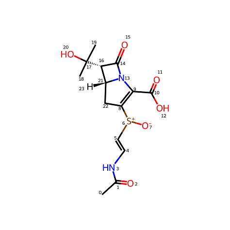 CC(=O)N/C=C/[S+]([O-])C1=C(C(=O)O)N2C(=O)[C@@H](C(C)(C)O)[C@H]2C1